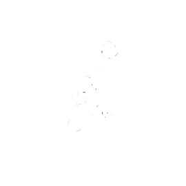 COC(=O)c1c(NC(=O)OCc2ccccc2)csc1C1C=CC(Cl)=CC1